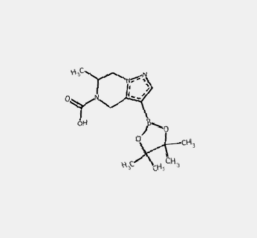 CC1Cn2ncc(B3OC(C)(C)C(C)(C)O3)c2CN1C(=O)O